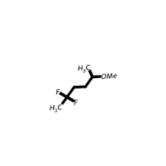 COC(C)CCC(C)(F)F